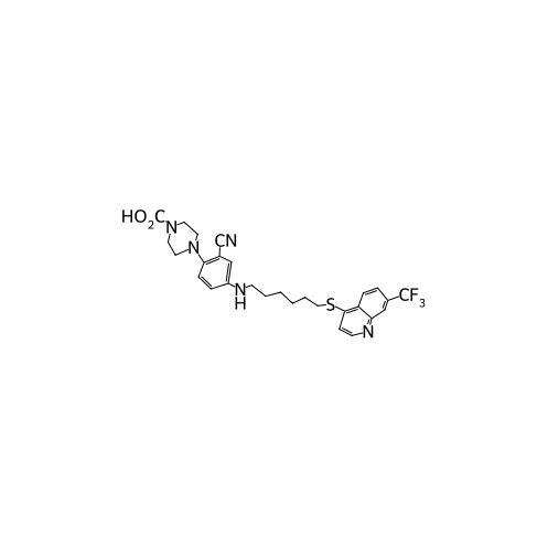 N#Cc1cc(NCCCCCCSc2ccnc3cc(C(F)(F)F)ccc23)ccc1N1CCN(C(=O)O)CC1